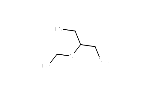 NCC(CN)NCO